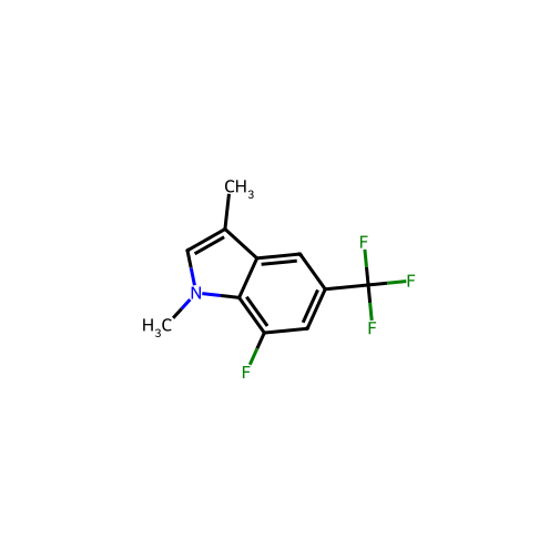 Cc1cn(C)c2c(F)cc(C(F)(F)F)cc12